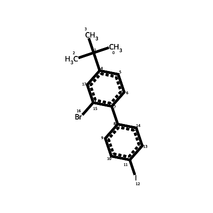 CC(C)(C)c1ccc(-c2ccc(I)cc2)c(Br)c1